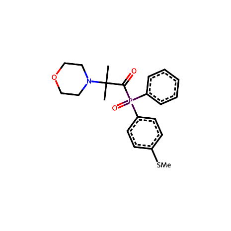 CSc1ccc(P(=O)(C(=O)C(C)(C)N2CCOCC2)c2ccccc2)cc1